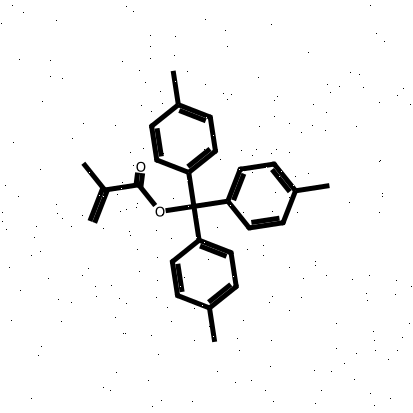 C=C(C)C(=O)OC(c1ccc(C)cc1)(c1ccc(C)cc1)c1ccc(C)cc1